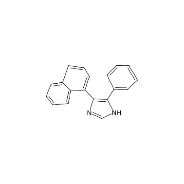 c1ccc(-c2[nH]cnc2-c2cccc3ccccc23)cc1